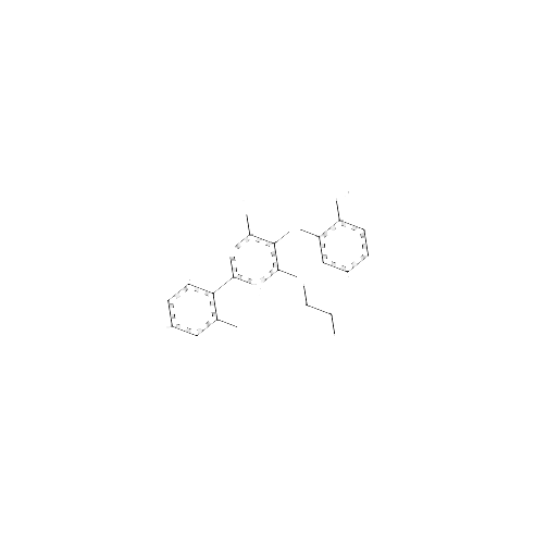 COc1ccccc1Oc1c(N)nc(-c2ccccc2F)nc1OCCO